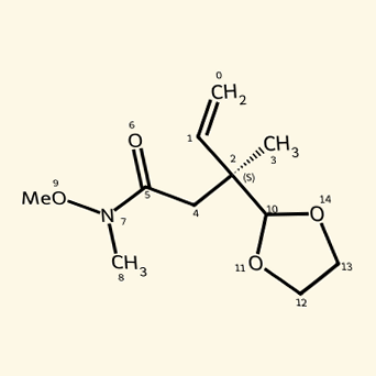 C=C[C@](C)(CC(=O)N(C)OC)C1OCCO1